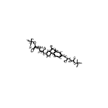 CC(C)(C)OC(=O)NCC(=O)Oc1ccc2c(c1)oc(=O)c1cc(OC(=O)CNC(=O)OC(C)(C)C)ccc12